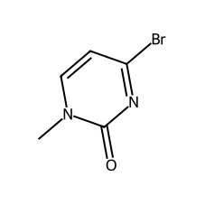 Cn1ccc(Br)nc1=O